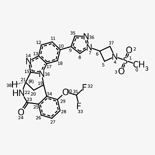 CS(=O)(=O)N1CC(n2cc(-c3ccc4nc5n(c4c3)C3C[C@H]5NC(=O)c4cccc(OC(F)F)c43)cn2)C1